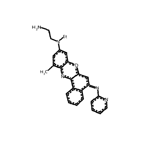 CCN(CCN)c1cc(C)c2nc3c4ccccc4/c(=N\c4ccccn4)cc-3oc2c1